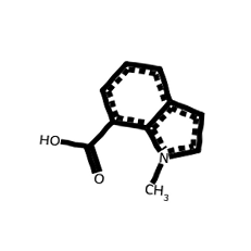 Cn1ccc2cccc(C(=O)O)c21